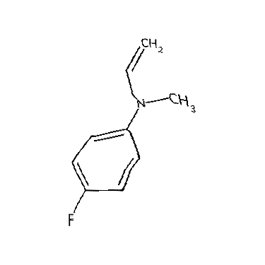 C=CN(C)c1ccc(F)cc1